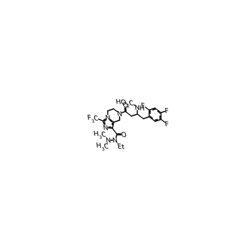 CCN(C(=O)c1nc(C(F)(F)F)n2c1CN(C(=O)CC(Cc1cc(F)c(F)cc1F)NC(=O)O)CC2)N(C)C